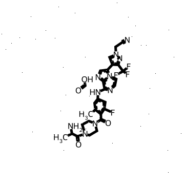 Cc1cc(Nc2nccn3c(-c4cn(CC#N)nc4C(F)(F)F)cnc23)cc(F)c1C(=O)N1CCN(C(=O)C(C)N)CC1.O=CO